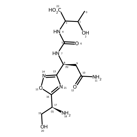 CC(O)C(NC(=O)N[C@@H](CC(N)=O)c1noc([C@@H](N)CO)n1)C(=O)O